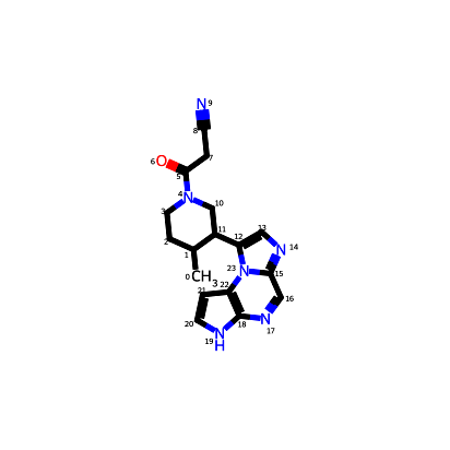 CC1CCN(C(=O)CC#N)CC1c1cnc2cnc3[nH]ccc3n12